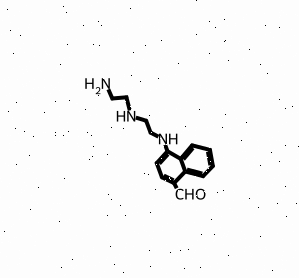 NCCNCCNc1ccc(C=O)c2ccccc12